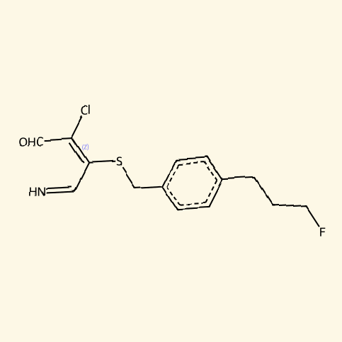 N=C/C(SCc1ccc(CCCF)cc1)=C(/Cl)C=O